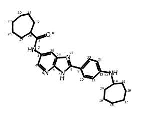 O=C(Nc1cnc2[nH]c(-c3ccc(NC4CCCCCC4)cc3)nc2c1)C1CCCCCC1